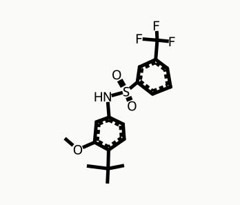 COc1cc(NS(=O)(=O)c2cccc(C(F)(F)F)c2)ccc1C(C)(C)C